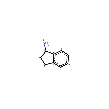 NC1C[CH]c2ccccc21